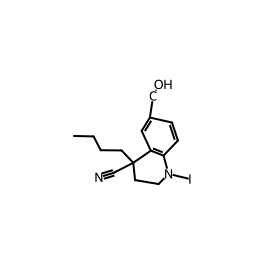 CCCCC1(C#N)CCN(I)c2ccc(CO)cc21